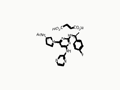 CC(=O)N[C@H]1CCN(c2cc(Nc3cnccn3)nc(N[C@@H](C)c3ccc(F)cc3)n2)C1.O=C(O)C=CC(=O)O